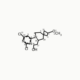 COC1CC2(CCN(c3cc(Cl)nc(Cl)n3)C(CCO)C2)C1